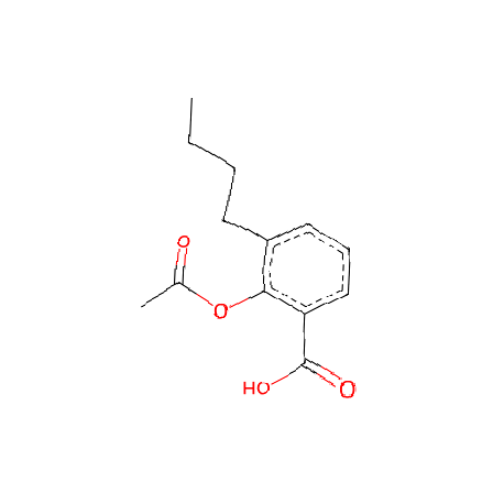 CCCCc1cccc(C(=O)O)c1OC(C)=O